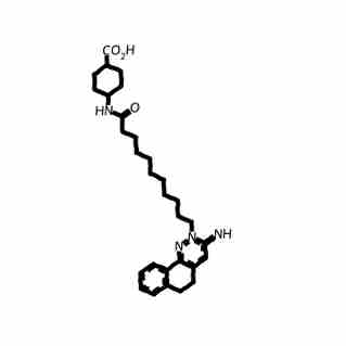 N=c1cc2c(nn1CCCCCCCCCCC(=O)NC1CCC(C(=O)O)CC1)-c1ccccc1CC2